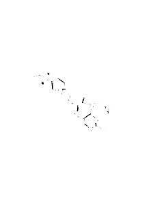 CCS(=O)(=O)c1ccc(CNc2nc3cnc(Cl)nc3n(CC3CC3)c2=O)nc1